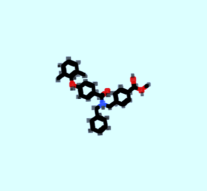 COC(=O)c1ccc(CN(Cc2ccccc2)C(=O)c2ccc(Oc3c(C)cccc3C)cc2)cc1